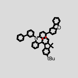 CC(C)(C)c1ccc2c(c1)C(C)(C)c1cccc(-c3ccccc3N(c3ccc(-c4ccc5oc6ccccc6c5c4)cc3)c3cccc(-c4ccccc4)c3)c1-2